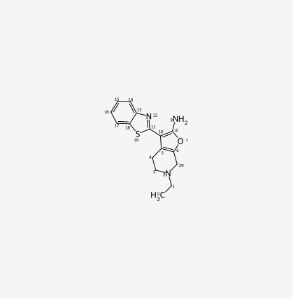 CCN1CCc2c(oc(N)c2-c2nc3ccccc3s2)C1